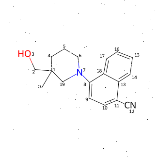 CC1(CO)CCCN(c2ccc(C#N)c3ccccc23)C1